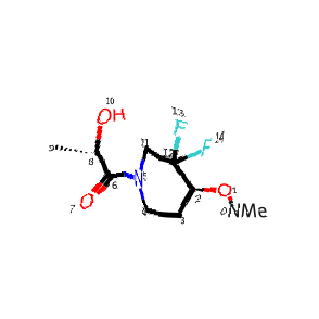 CNO[C@H]1CCN(C(=O)[C@H](C)O)CC1(F)F